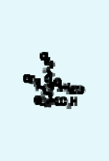 O=C=NCCCCC(N=C=O)C(=O)O.O=C=NCCOC(=O)OCCN=C=O